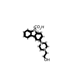 O=C(O)n1c2ccccc2c2cc(N3CCN(CCO)CC3)ccc21